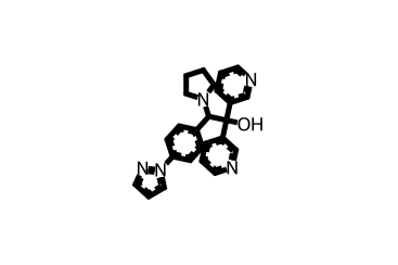 OC(c1cccnc1)(c1cccnc1)C(c1ccc(-n2cccn2)cc1)N1CCCC1